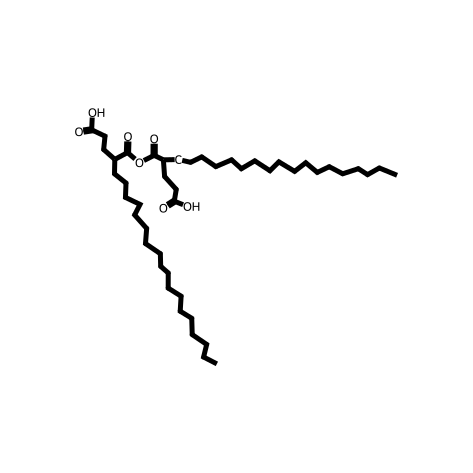 CCCCCCCCCCCCCCCCCCC(CCC(=O)O)C(=O)OC(=O)C(CCCCCCCCCCCCCCCCCC)CCC(=O)O